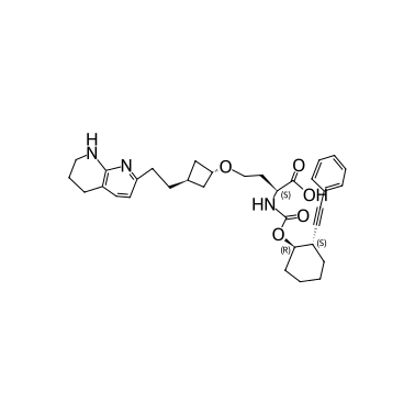 O=C(N[C@@H](CCO[C@H]1C[C@H](CCc2ccc3c(n2)NCCC3)C1)C(=O)O)O[C@@H]1CCCC[C@H]1C#Cc1ccccc1